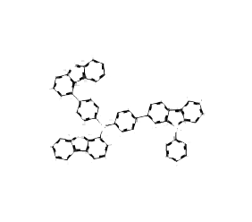 c1ccc(-n2c3ccccc3c3ccc(-c4ccc(N(c5ccc(-c6cccc7oc8ccccc8c67)cc5)c5cccc6c5oc5ccccc56)cc4)cc32)cc1